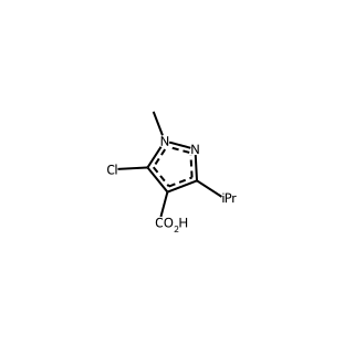 CC(C)c1nn(C)c(Cl)c1C(=O)O